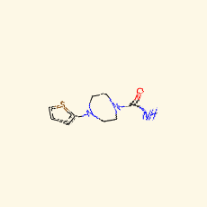 [NH]C(=O)N1CCN(c2cccs2)CC1